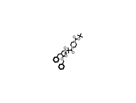 CC(C)(C)OC(=O)N1CCN(C(=O)C(C)(C)S(=O)(=O)CC(Cc2ccccc2)C(=O)OCc2ccccc2)CC1